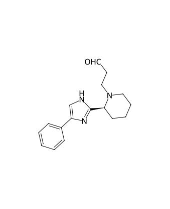 O=CCCN1CCCC[C@H]1c1nc(-c2ccccc2)c[nH]1